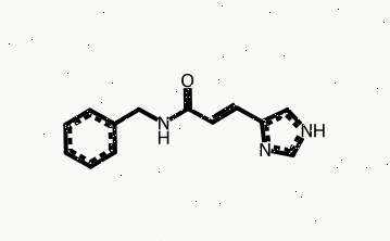 O=C(C=Cc1c[nH]cn1)NCc1ccccc1